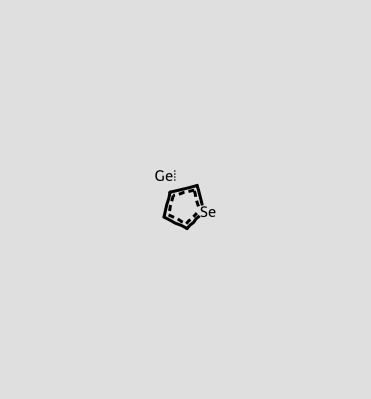 [Ge].c1cc[se]c1